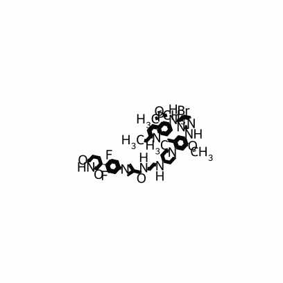 CCc1ccc2c(P(C)(C)=O)c(Nc3nc(Nc4cc(CC)c(N5CCC(NCCNC(=O)C6CN(c7cc(F)c([C@H]8CCC(=O)NC8=O)c(F)c7)C6)CC5)cc4OC)ncc3Br)ccc2n1